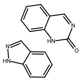 O=c1ncc2ccccc2[nH]1.c1ccc2[nH]ncc2c1